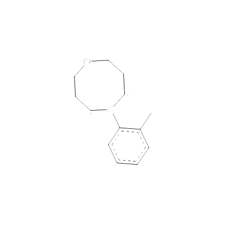 Cc1cccc[c]1[In]1[CH2]CCNCC[CH2]1